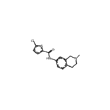 CN1CCc2ccc(NC(=O)c3ccc(Cl)s3)cc2C1